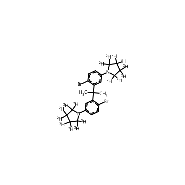 [2H]C1([2H])N(c2ccc(Br)c(C(C)(C)c3cc(N4C([2H])([2H])C([2H])([2H])C([2H])([2H])C4([2H])[2H])ccc3Br)c2)C([2H])([2H])C([2H])([2H])C1([2H])[2H]